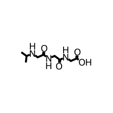 CC(C)NCC(=O)NCC(=O)NCC(=O)O